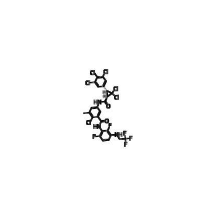 Cc1cc(NC(=O)[C@H]2[C@H](c3cc(Cl)c(Cl)c(Cl)c3)C2(Cl)Cl)cc(C(=O)Nc2c(F)ccc(NCC(F)(F)F)c2F)c1Cl